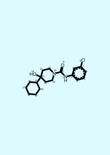 O=C(Nc1cccc(Cl)c1)N1CCC(O)(C2CCCCC2)CC1